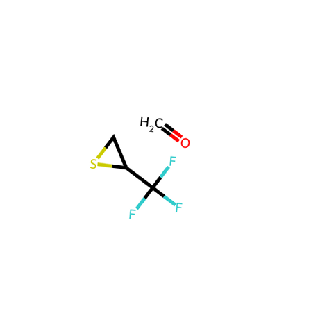 C=O.FC(F)(F)C1CS1